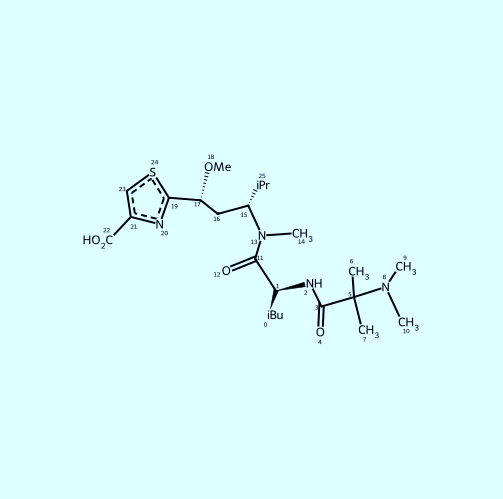 CC[C@H](C)[C@H](NC(=O)C(C)(C)N(C)C)C(=O)N(C)[C@H](C[C@@H](OC)c1nc(C(=O)O)cs1)C(C)C